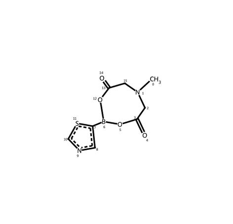 CN1CC(=O)OB(c2cncs2)OC(=O)C1